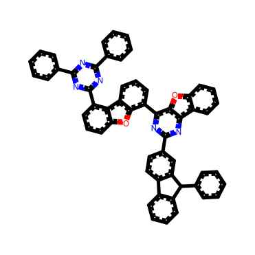 c1ccc(-c2nc(-c3ccccc3)nc(-c3cccc4oc5c(-c6nc(-c7ccc8c(c7)C(c7ccccc7)c7ccccc7-8)nc7c6oc6ccccc67)cccc5c34)n2)cc1